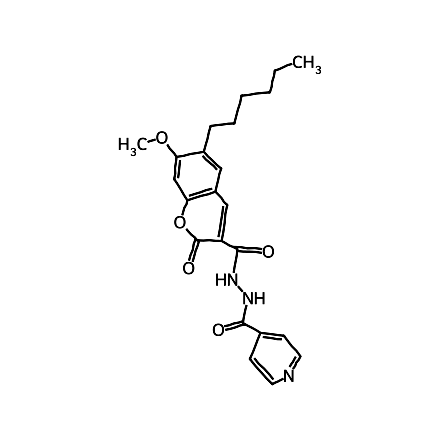 CCCCCCc1cc2cc(C(=O)NNC(=O)c3ccncc3)c(=O)oc2cc1OC